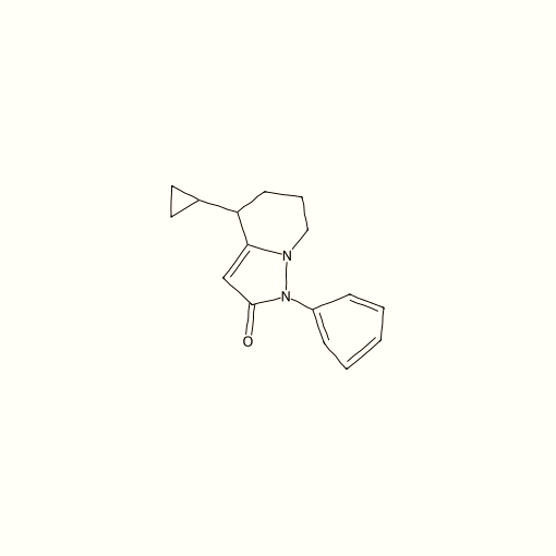 O=c1cc2n(n1-c1ccccc1)CCCC2C1CC1